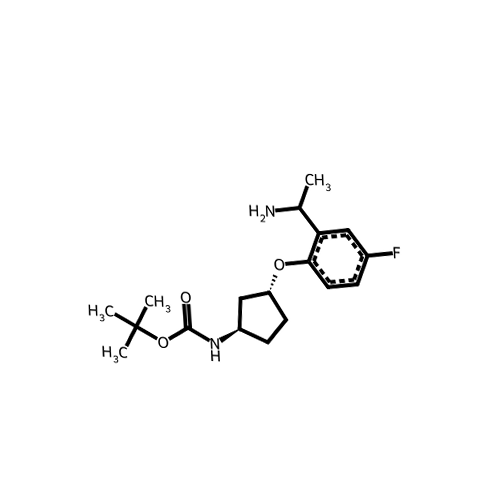 CC(N)c1cc(F)ccc1O[C@@H]1CC[C@@H](NC(=O)OC(C)(C)C)C1